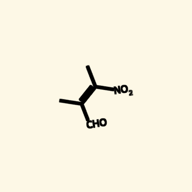 C/C(C=O)=C(\C)[N+](=O)[O-]